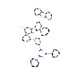 CC(C)(C)c1ccc2c(c1)c1cc(-n3c4ccccc4c4ccccc43)ccc1n2-c1c(-c2ccccc2)cc(-c2nc(-c3ccccc3)nc(-c3ccccc3)n2)cc1-c1ccccc1